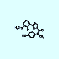 COc1cccc(-c2ncc(C(=O)N(C)c3ccc(O)cc3)s2)c1F